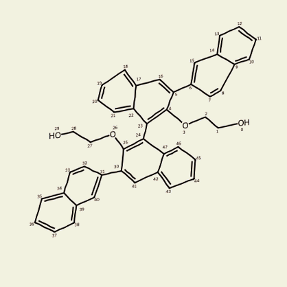 OCCOc1c(-c2ccc3ccccc3c2)cc2ccccc2c1-c1c(OCCO)c(-c2ccc3ccccc3c2)cc2ccccc12